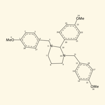 COc1ccc(CN2CCCN(Cc3ccc(OC)cc3)C2c2ccc(OC)cc2)cc1